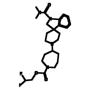 CN(C)C(=O)N1CC2(CCN(C3CCCN(C(=O)OCC(F)F)CC3)CC2)c2ccccc21